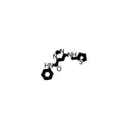 O=C(Nc1ccccc1)c1cc(NCc2cccs2)ncn1